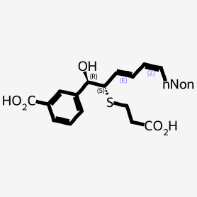 CCCCCCCCC/C=C\C=C\[C@H](SCCC(=O)O)[C@H](O)c1cccc(C(=O)O)c1